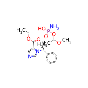 CCOC(=O)c1cncn1C(C)c1ccccc1.COC(C)OP(N)(=O)O